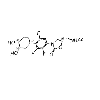 CC(=O)NC[C@H]1CN(c2cc(F)c([C@H]3CC[C@@H](O)[C@@H](O)C3)c(F)c2F)C(=O)O1